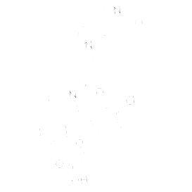 COc1cc2c(ccn2CCC(=O)N2CCc3ccccc3C2c2cc(Cl)ccc2OCC(=O)O)cn1